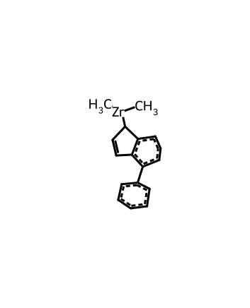 [CH3][Zr]([CH3])[CH]1C=Cc2c(-c3ccccc3)cccc21